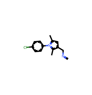 C=NCc1cc(C)n(-c2ccc(Cl)cc2)c1C